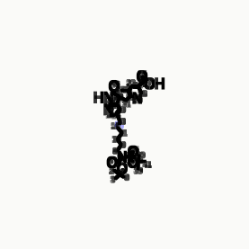 CC(C)(C)OC(=O)N(CCCC/C=C/c1cnc2c(c1)[C@@]1(Cc3cc(C(=O)O)cnc3C1)C(=O)N2)C(=O)OC(C)(C)C